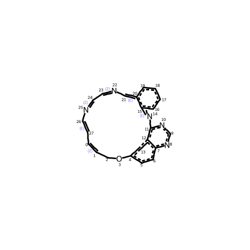 C1=C/COc2ccc3ncnc(c3c2)\N=c2/cccc/c2=C\N=C/C=N\C=C\1